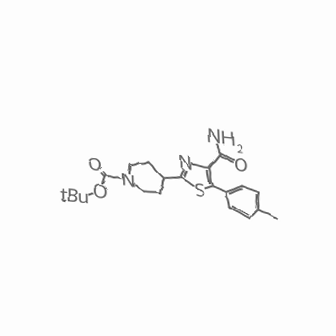 Cc1ccc(-c2sc(C3CCN(C(=O)OC(C)(C)C)CC3)nc2C(N)=O)cc1